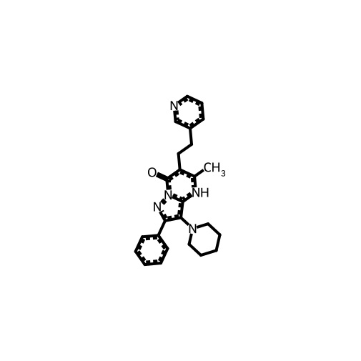 Cc1[nH]c2c(N3CCCCC3)c(-c3ccccc3)nn2c(=O)c1CCc1cccnc1